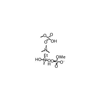 CC[N+](C)(O)O.CN(C)C.COS(=O)(=O)O.COS(=O)(=O)[O-]